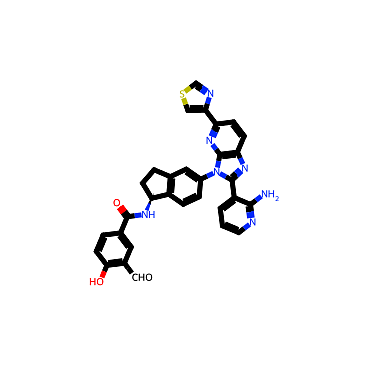 Nc1ncccc1-c1nc2ccc(-c3cscn3)nc2n1-c1ccc2c(c1)CC[C@@H]2NC(=O)c1ccc(O)c(C=O)c1